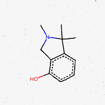 CN1Cc2c(O)cccc2C1(C)C